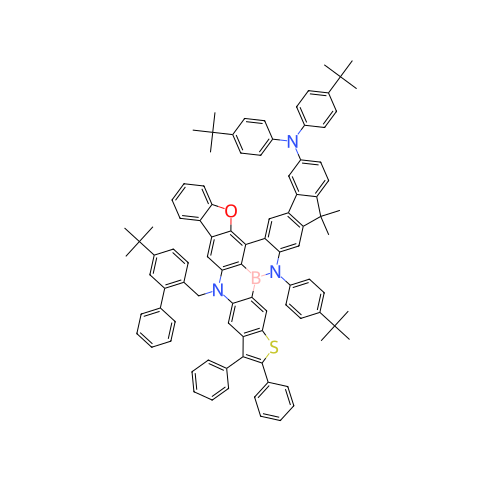 CC(C)(C)c1ccc(N2B3c4cc5sc(-c6ccccc6)c(-c6ccccc6)c5cc4N(Cc4ccc(C(C)(C)C)cc4-c4ccccc4)c4cc5c(oc6ccccc65)c(c43)-c3cc4c(cc32)C(C)(C)c2ccc(N(c3ccc(C(C)(C)C)cc3)c3ccc(C(C)(C)C)cc3)cc2-4)cc1